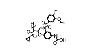 CCOc1cc(S(=O)(=O)N2CC(C(N)S(=O)(=O)C3CC3)Oc3ccc(NC(=O)O)cc32)ccc1F